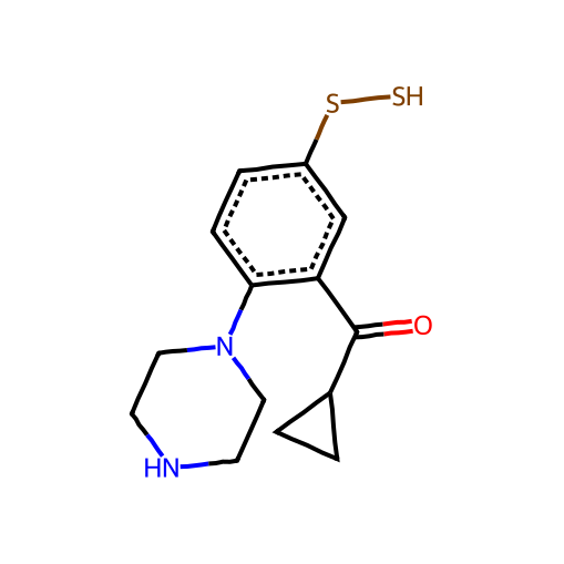 O=C(c1cc(SS)ccc1N1CCNCC1)C1CC1